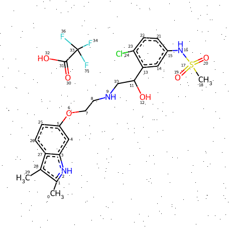 Cc1[nH]c2cc(OCCNCC(O)c3cc(NS(C)(=O)=O)ccc3Cl)ccc2c1C.O=C(O)C(F)(F)F